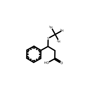 [2H]C([2H])([2H])SC(CC(=O)O)c1ccccc1